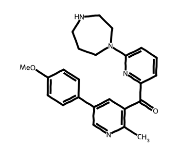 COc1ccc(-c2cnc(C)c(C(=O)c3cccc(N4CCCNCC4)n3)c2)cc1